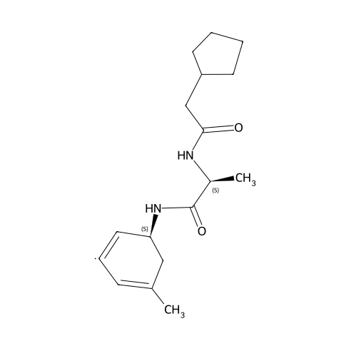 CC1=C[C]=C[C@@H](NC(=O)[C@H](C)NC(=O)CC2CCCC2)C1